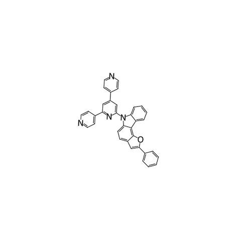 c1ccc(-c2cc3ccc4c(c5ccccc5n4-c4cc(-c5ccncc5)cc(-c5ccncc5)n4)c3o2)cc1